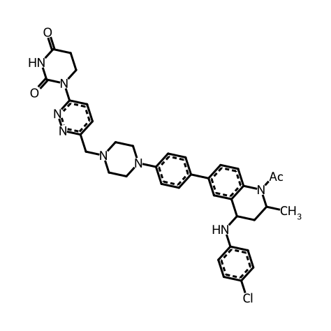 CC(=O)N1c2ccc(-c3ccc(N4CCN(Cc5ccc(N6CCC(=O)NC6=O)nn5)CC4)cc3)cc2C(Nc2ccc(Cl)cc2)CC1C